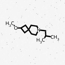 COC1CC2(CCN(CC(C)C)CC2)C1